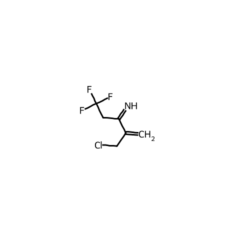 C=C(CCl)C(=N)CC(F)(F)F